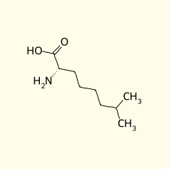 CC(C)CCCC[C@H](N)C(=O)O